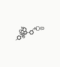 Cc1ccc(S(=O)(=O)n2cc(-c3cccc(CN4CCC5(CC4)COC5)c3)c3ccn(C)c(=O)c32)cc1